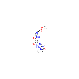 CC[C@@H]1C(=O)N(C)c2cnc(Nc3ccc(C(=O)NC4CCN(CCCC(=O)OC5CCCC5)C4)cc3OC)nc2N1C1CCCC1